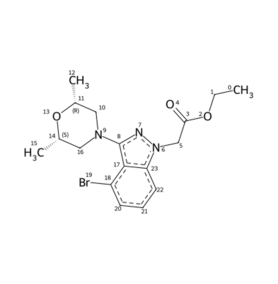 CCOC(=O)Cn1nc(N2C[C@@H](C)O[C@@H](C)C2)c2c(Br)cccc21